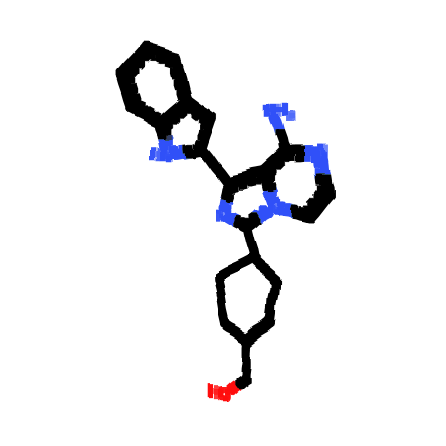 Nc1nccn2c(C3CCC(CO)CC3)nc(-c3cc4ccccc4[nH]3)c12